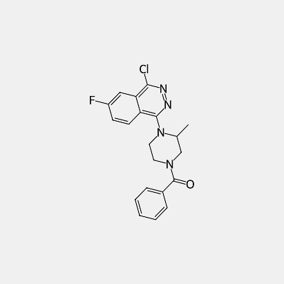 CC1CN(C(=O)c2ccccc2)CCN1c1nnc(Cl)c2cc(F)ccc12